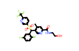 Cc1cc(C(=O)NCCO)ncc1C(c1cc(F)ccc1F)S(=O)(=O)c1ccc(C(F)(F)F)nc1